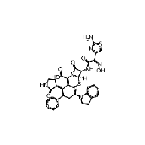 Nc1nc(C(=NO)C(=O)N[C@@H]2C(=O)N3C(C(=O)O)=C(C(=C4CCNC4=O)C(CC(=O)N4CCc5ccccc54)c4ccncc4)CS[C@H]23)cs1